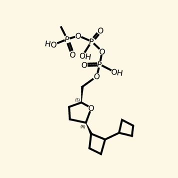 CP(=O)(O)OP(=O)(O)OP(=O)(O)OC[C@@H]1CC[C@H](C2CCC2C2CCC2)O1